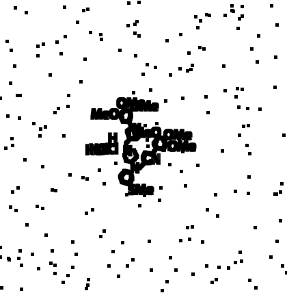 COc1cc(-c2ccc(CN(c3cccc(SC)c3)C3CCN(Cc4ccnc(-c5cc(OC)c(OC)c(OC)c5)c4)CC3)cn2)cc(OC)c1OC.Cl.Cl.Cl